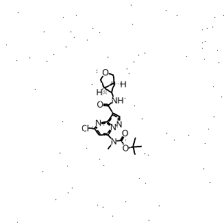 CN(C(=O)OC(C)(C)C)c1cc(Cl)nc2c(C(=O)NC3[C@H]4COC[C@@H]34)cnn12